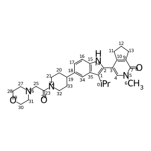 CC(C)c1c(-c2cn(C)c(=O)c3c2CCC3)[nH]c2ccc(C3CCN(C(=O)CN4CCOCC4)CC3)cc12